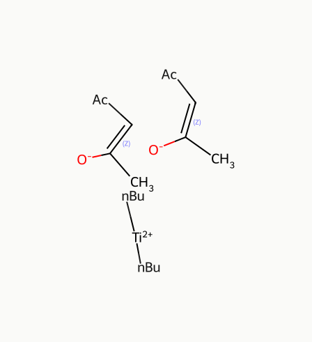 CC(=O)/C=C(/C)[O-].CC(=O)/C=C(/C)[O-].CCC[CH2][Ti+2][CH2]CCC